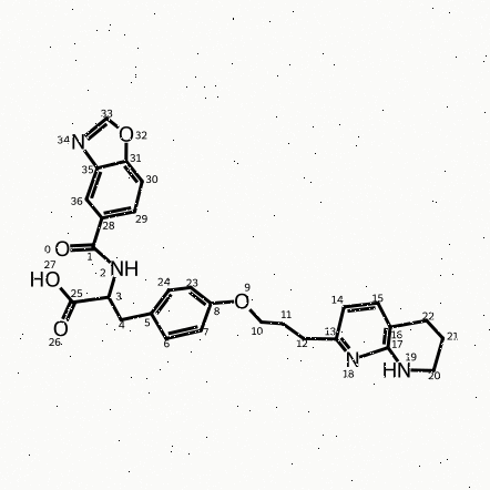 O=C(NC(Cc1ccc(OCCCc2ccc3c(n2)NCCC3)cc1)C(=O)O)c1ccc2ocnc2c1